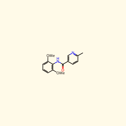 COc1cccc(OC)c1NC(=O)c1ccc(C)nc1